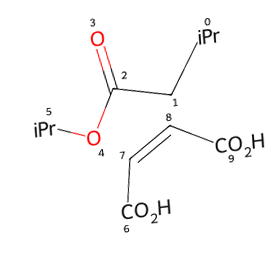 CC(C)CC(=O)OC(C)C.O=C(O)/C=C\C(=O)O